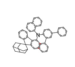 c1ccc(-c2ccc(N(c3cccc4c3-c3ccccc3C43C4CC5CC(C4)CC3C5)c3cccc4ccccc34)c(-c3ccccc3)c2)cc1